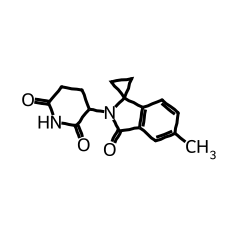 Cc1ccc2c(c1)C(=O)N(C1CCC(=O)NC1=O)C21CC1